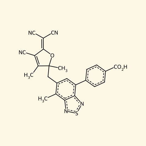 CC1=C(C#N)C(=C(C#N)C#N)OC1(C)Cc1cc(-c2ccc(C(=O)O)cc2)c2nsnc2c1C